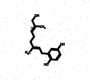 C/C(=C\CC/C(C)=C/Cc1cc(O)ccc1O)CO